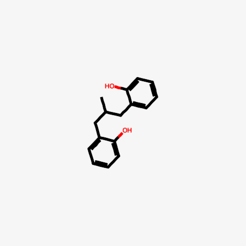 C[C](Cc1ccccc1O)Cc1ccccc1O